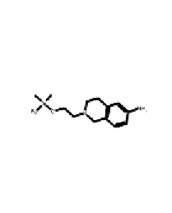 CC(C)(C)[Si](C)(C)OCCN1CCc2cc(N)ccc2C1